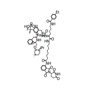 CCc1ccc(C(=O)NCCCC[C@H](NC(=O)[C@H](Cc2ccc(C(F)(F)P(=O)(O)O)cc2)NC(=O)[C@H](Cc2ccccc2)NC(=O)CO[C@H]2C[C@@H](C)CC[C@@H]2C(C)C)C(=O)NCCCCCCCC(=O)Nc2cccc3c2C(=O)N(C2CCC(=O)NC2=O)C3=O)cc1